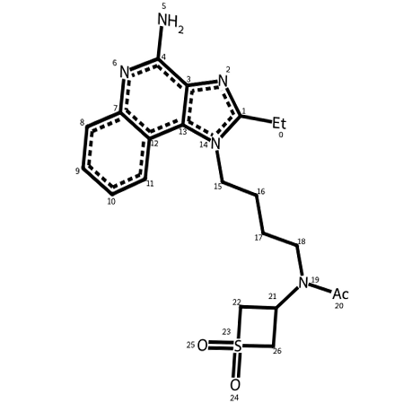 CCc1nc2c(N)nc3ccccc3c2n1CCCCN(C(C)=O)C1CS(=O)(=O)C1